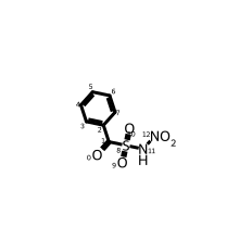 O=C(c1ccccc1)S(=O)(=O)N[N+](=O)[O-]